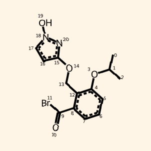 CC(C)Oc1cccc(C(=O)Br)c1COc1ccn(O)n1